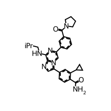 CC(C)CNc1nc(-c2cccc(C(=O)N3CCCC3)c2)cn2c(-c3ccc(C(N)=O)c(C4CC4)c3)cnc12